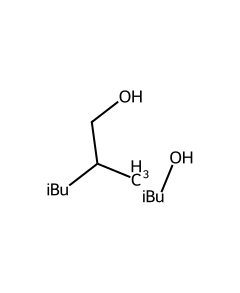 CCC(C)C(C)CO.CCC(C)O